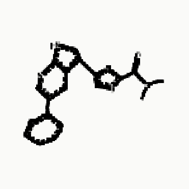 CN(C)C(=O)c1nc(-c2c[nH]c3ncc(-c4ccccc4)cc23)cs1